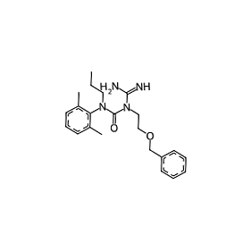 CCCN(C(=O)N(CCOCc1ccccc1)C(=N)N)c1c(C)cccc1C